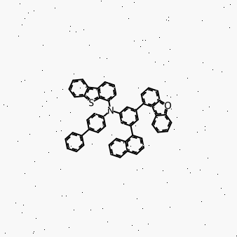 c1ccc(-c2ccc(N(c3cc(-c4cccc5ccccc45)cc(-c4cccc5oc6ccccc6c45)c3)c3cccc4c3sc3ccccc34)cc2)cc1